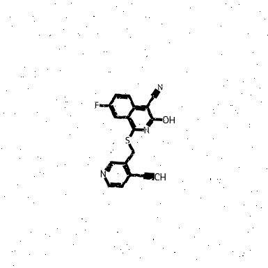 C#Cc1ccncc1CSc1nc(O)c(C#N)c2ccc(F)cc12